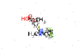 Cc1cc(SCc2nn(-c3ccc(C(F)(F)F)c(C(F)(F)F)c3)nc2C)ccc1OCC(=O)O